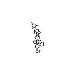 Cc1cc(C)c(-c2csc(N3CCC(S(=O)(=O)c4ccc(Br)cc4Cl)CC3)n2)c(C)c1